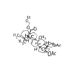 CCOCOC(=O)[C@]12CC[C@@H](C)[C@H](C)[C@H]1C1=CC[C@@H]3[C@@]4(C)CC[C@H](OC(C)=O)[C@@](C)(COC(C)=O)[C@@H]4CC[C@@]3(C)[C@]1(C)CC2